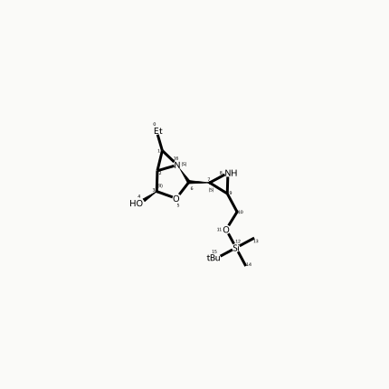 CCC1C2[C@H](O)OC([C@H]3NC3CO[Si](C)(C)C(C)(C)C)[N@]12